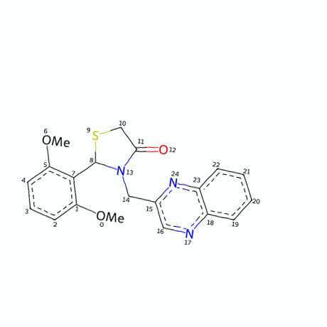 COc1cccc(OC)c1C1SCC(=O)N1Cc1cnc2ccccc2n1